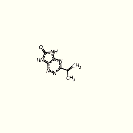 C=C(C)c1nnc2[nH]c(=O)[nH]c2n1